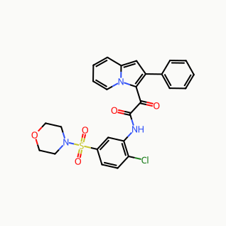 O=C(Nc1cc(S(=O)(=O)N2CCOCC2)ccc1Cl)C(=O)c1c(-c2ccccc2)cc2ccccn12